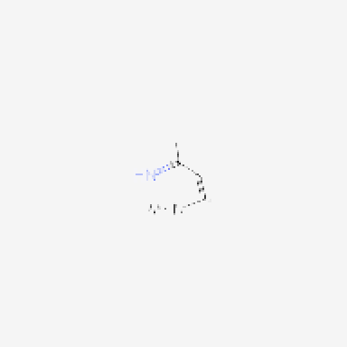 CCC(=N)/C=C\NC